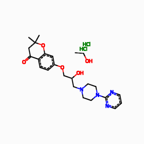 CC1(C)CC(=O)c2ccc(OCC(O)CN3CCN(c4ncccn4)CC3)cc2O1.CCO.Cl.Cl